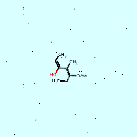 C=C/C(OC)=C(C)\C(O)=C/C